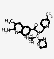 [2H]C([2H])([2H])N(c1ncccn1)N(Cc1ccc(C(F)(F)F)cn1)C(=O)c1ccc2nc(N)c(C)cc2c1